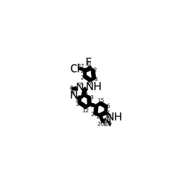 Fc1ccc(Nc2ncnc3ccc(-c4ccc5[nH]ncc5c4)cc23)cc1Cl